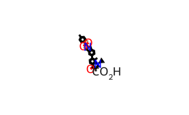 Cc1ccc(S(=O)(=O)N2Cc3ccc(-c4ccc5c(=O)c(C(=O)O)cn(C6CC6)c5c4C)cc3C2)cc1